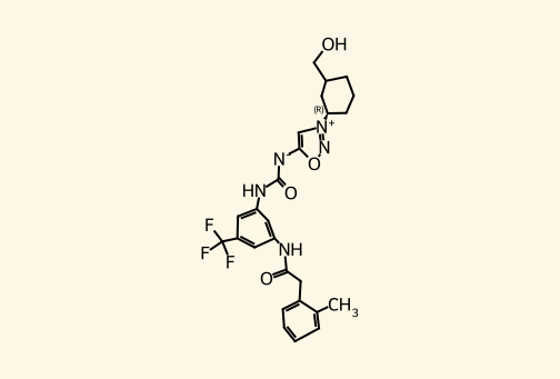 Cc1ccccc1CC(=O)Nc1cc(NC(=O)[N-]c2c[n+]([C@@H]3CCCC(CO)C3)no2)cc(C(F)(F)F)c1